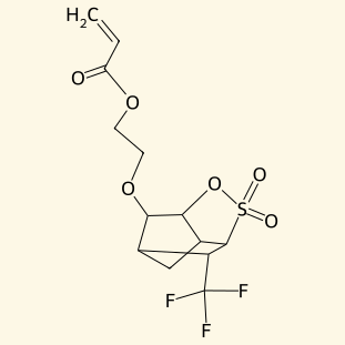 C=CC(=O)OCCOC1C2CC3C1OS(=O)(=O)C3C2C(F)(F)F